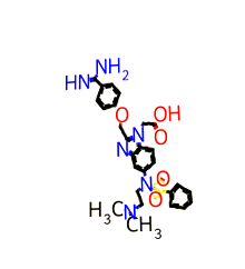 CN(C)CCN(c1ccc2c(c1)nc(COc1ccc(C(=N)N)cc1)n2CC(=O)O)S(=O)(=O)c1ccccc1